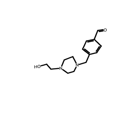 O=Cc1ccc(CN2CCN(CCO)CC2)cc1